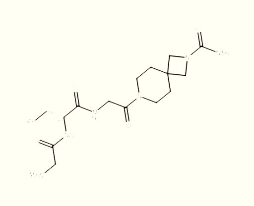 CNCC(=O)N[C@H](CC(C)C)C(=O)NCC(=O)N1CCC2(CC1)CN(C(=O)NC)C2